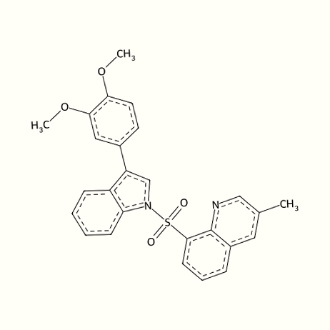 COc1ccc(-c2cn(S(=O)(=O)c3cccc4cc(C)cnc34)c3ccccc23)cc1OC